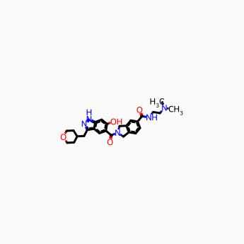 CN(C)CCNC(=O)c1ccc2c(c1)CN(C(=O)c1cc3c(CC4CCOCC4)n[nH]c3cc1O)C2